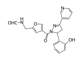 O=CNCc1cc(C(=O)N2N=C(c3cccnc3)CC2c2ccccc2O)co1